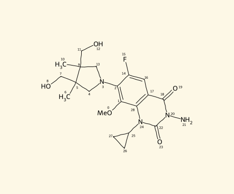 COc1c(N2CC(C)(CO)C(C)(CO)C2)c(F)cc2c(=O)n(N)c(=O)n(C3CC3)c12